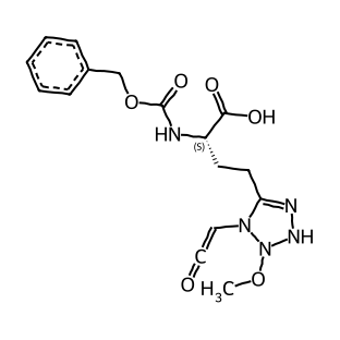 CON1NN=C(CC[C@H](NC(=O)OCc2ccccc2)C(=O)O)N1C=C=O